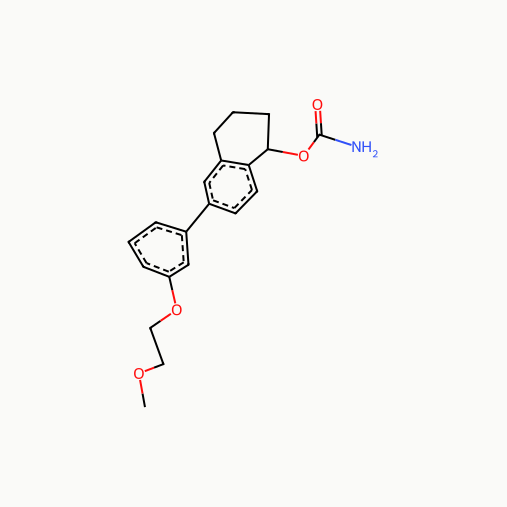 COCCOc1cccc(-c2ccc3c(c2)CCCC3OC(N)=O)c1